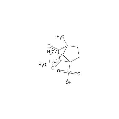 CC12CCC(S(=O)(=O)O)(C(=O)C1=O)C2(C)C.O